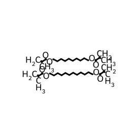 C=C(C)C(=O)OCCCCCCCCCCCCOC(=O)C(=C)C.C=C(C)C(=O)OCCCCCCCCCCOC(=O)C(=C)C